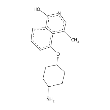 Cc1cnc(O)c2cccc(O[C@H]3CC[C@@H](N)CC3)c12